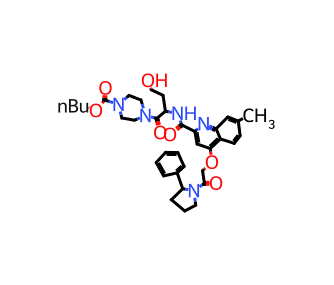 CCCCOC(=O)N1CCN(C(=O)C(CCO)NC(=O)c2cc(OCC(=O)N3CCCC3c3ccccc3)c3ccc(C)cc3n2)CC1